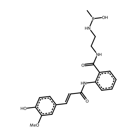 COc1cc(/C=C/C(=O)Nc2ccccc2C(=O)NCCNB(C)O)ccc1O